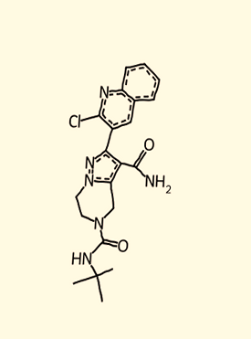 CC(C)(C)NC(=O)N1CCn2nc(-c3cc4ccccc4nc3Cl)c(C(N)=O)c2C1